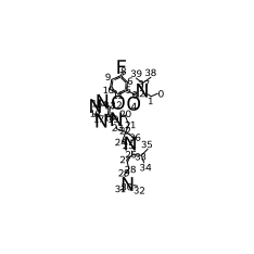 CCN(C(=O)c1cc(F)ccc1Oc1nncnc1N1CCC2(C1)CN(C(CCCN(C)C)C(C)C)C2)C(C)C